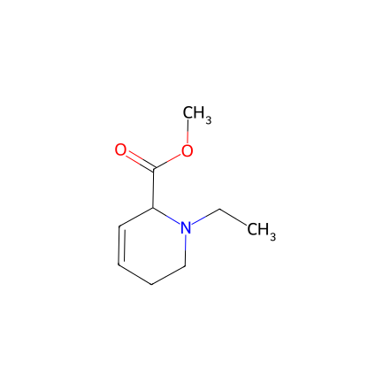 CCN1CCC=CC1C(=O)OC